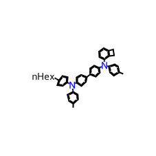 CCCCCCc1ccc(N(c2ccc(C)cc2)c2ccc(-c3ccc(N(c4ccc(C)cc4)c4cccc5c4CC5)cc3)cc2)cc1